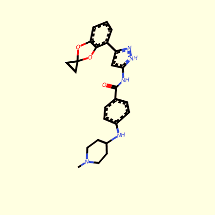 CN1CCC(Nc2ccc(C(=O)Nc3cc(-c4cccc5c4OC4(CC4)O5)n[nH]3)cc2)CC1